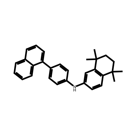 CC1(C)CCC(C)(C)c2cc(Nc3ccc(-c4cccc5ccccc45)cc3)ccc21